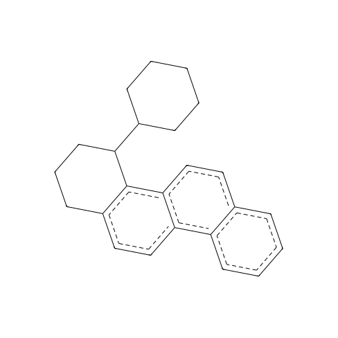 c1ccc2c(c1)ccc1c3c(ccc12)CCCC3C1CCCCC1